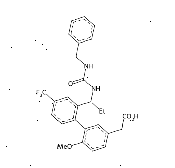 CCC(NC(=O)NCc1ccccc1)c1cc(C(F)(F)F)ccc1-c1cc(CC(=O)O)ccc1OC